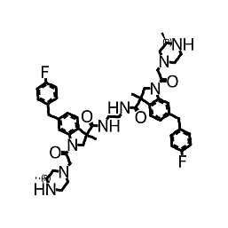 C[C@@H]1CN(CC(=O)N2CC(C)(C(=O)NCCNC(=O)C3(C)CN(C(=O)CN4CCN[C@H](C)C4)c4cc(Cc5ccc(F)cc5)ccc43)c3ccc(Cc4ccc(F)cc4)cc32)CCN1